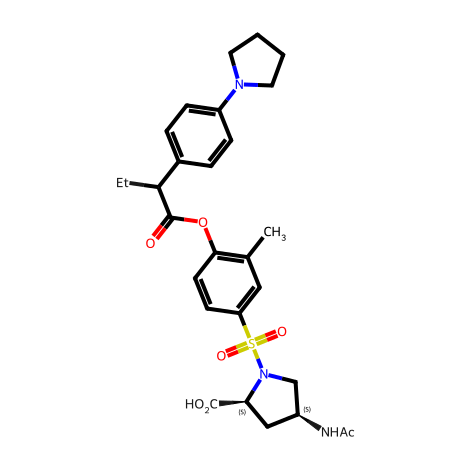 CCC(C(=O)Oc1ccc(S(=O)(=O)N2C[C@@H](NC(C)=O)C[C@H]2C(=O)O)cc1C)c1ccc(N2CCCC2)cc1